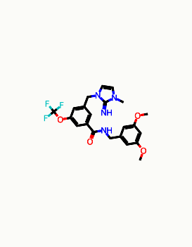 COc1cc(CNC(=O)c2cc(Cn3ccn(C)c3=N)cc(OC(F)(F)F)c2)cc(OC)c1